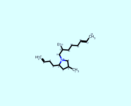 C=CCCC1CC(C)CN1CC(CC)CCC/C=C/C